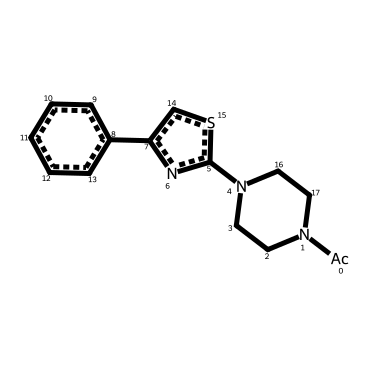 CC(=O)N1CCN(c2nc(-c3ccccc3)cs2)CC1